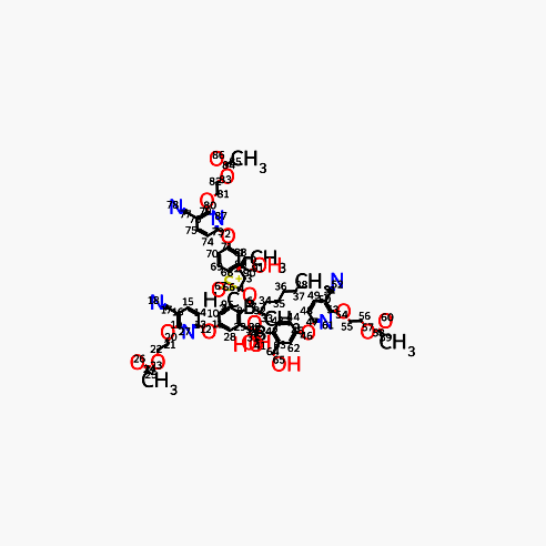 C/C=C\CC(C)(OB(c1ccc(Oc2ccc(C#N)c(OCCOC(C)=O)n2)cc1CO)C(C)(CCCCC)OB(O)c1ccc(Oc2ccc(C#N)c(OCCOC(C)=O)n2)cc1CO)[S+]([O-])c1ccc(Oc2ccc(C#N)c(OCCOC(C)=O)n2)cc1CO